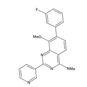 CNc1nc(-c2cccnc2)nc2c(OC)c(-c3cccc(F)c3)ccc12